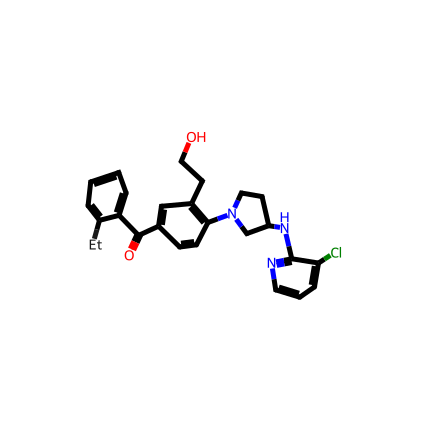 CCc1ccccc1C(=O)c1ccc(N2CCC(Nc3ncccc3Cl)C2)c(CCO)c1